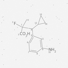 CC(F)(C(=O)O)C(c1cccc(N)c1)C1CC1